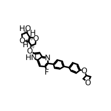 O[C@@H]1CO[C@H]2[C@@H]1OC[C@H]2Oc1cc2nc(-c3ccc(-c4ccc(OC5COC5)cc4)cc3)c(F)cc2[nH]1